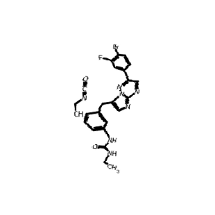 CCN=C=O.CCNC(=O)Nc1cccc(Cc2cnc3ncc(-c4ccc(Br)c(F)c4)nn23)c1